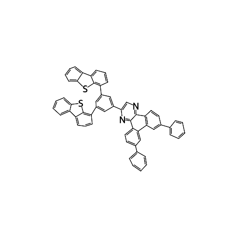 c1ccc(-c2ccc3c(c2)c2cc(-c4ccccc4)ccc2c2nc(-c4cc(-c5cccc6c5sc5ccccc56)cc(-c5cccc6c5sc5ccccc56)c4)cnc32)cc1